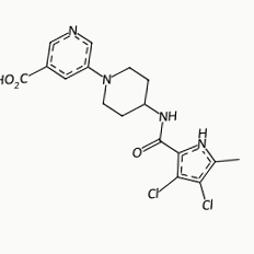 Cc1[nH]c(C(=O)NC2CCN(c3cncc(C(=O)O)c3)CC2)c(Cl)c1Cl